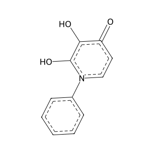 O=c1ccn(-c2ccccc2)c(O)c1O